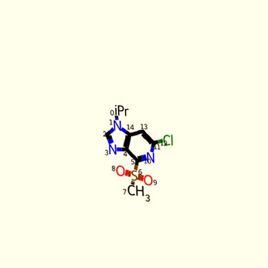 CC(C)n1cnc2c(S(C)(=O)=O)nc(Cl)cc21